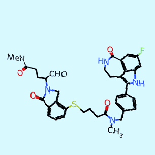 CNC(=O)CCC(C=O)N1Cc2c(SCCCC(=O)N(C)Cc3ccc(-c4[nH]c5cc(F)cc6c5c4CCNC6=O)cc3)cccc2C1=O